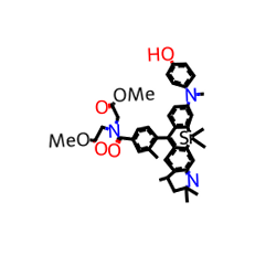 COC(=O)CN(CC(=O)OC)C(=O)c1ccc(C2=c3cc4c(cc3[Si](C)(C)c3cc(N(C)c5ccc(O)cc5)ccc32)=NC(C)(C)CC4C)c(C)c1